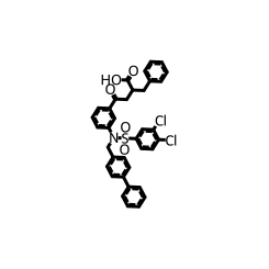 O=C(CC(Cc1ccccc1)C(=O)O)c1cccc(N(Cc2ccc(-c3ccccc3)cc2)S(=O)(=O)c2ccc(Cl)c(Cl)c2)c1